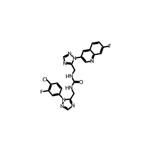 O=C(NCc1ncnn1-c1ccc(Cl)c(F)c1)NCc1ncnn1-c1cnc2cc(F)ccc2c1